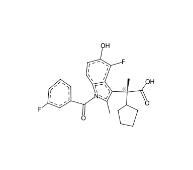 Cc1c([C@](C)(C(=O)O)C2CCCC2)c2c(F)c(O)ccc2n1C(=O)c1cccc(F)c1